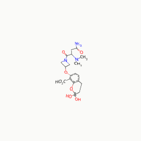 CN(C)C(CC(N)=O)C(=O)N1CC(Oc2ccc3c(c2C(=O)O)O[B-](O)(O)CC3)C1